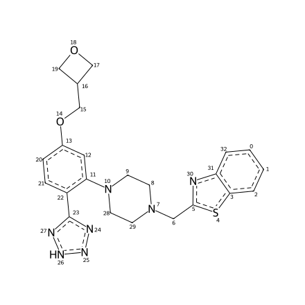 c1ccc2sc(CN3CCN(c4cc(OCC5COC5)ccc4-c4nn[nH]n4)CC3)nc2c1